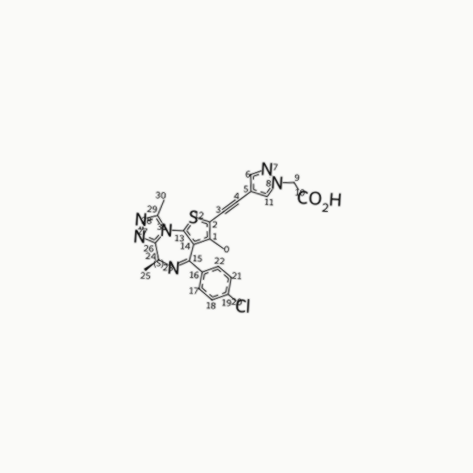 Cc1c(C#Cc2cnn(CC(=O)O)c2)sc2c1C(c1ccc(Cl)cc1)=N[C@@H](C)c1nnc(C)n1-2